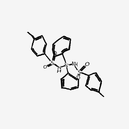 Cc1ccc(S(=O)(=O)N[N+](NS(=O)(=O)c2ccc(C)cc2)(c2ccccc2)c2ccccc2)cc1